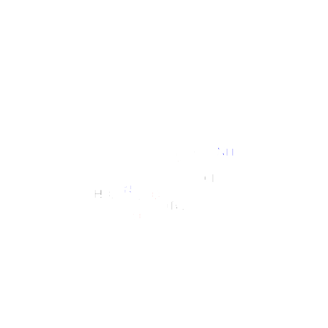 Cc1[nH]c2ccccc2c1Sc1ccccc1CCN(C)C(=O)OC(C)(C)C